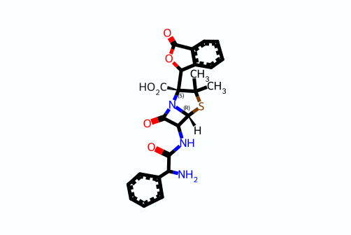 CC1(C)S[C@@H]2C(NC(=O)C(N)c3ccccc3)C(=O)N2[C@]1(C(=O)O)C1OC(=O)c2ccccc21